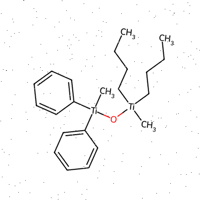 CCC[CH2][Ti]([CH3])([CH2]CCC)[O][Ti]([CH3])([c]1ccccc1)[c]1ccccc1